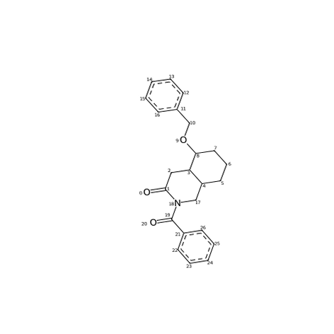 O=C1CC2C(CCCC2OCc2ccccc2)CN1C(=O)c1ccccc1